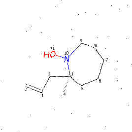 C=CC[C@]1(C)CCCCCN1O